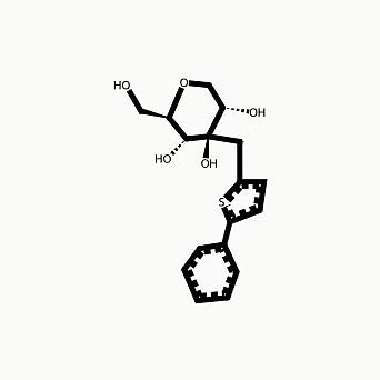 OC[C@H]1OC[C@H](O)[C@](O)([CH]c2ccc(-c3ccccc3)s2)[C@@H]1O